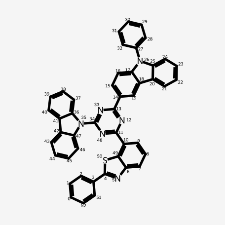 c1ccc(-c2nc3cccc(-c4nc(-c5ccc6c(c5)c5ccccc5n6-c5ccccc5)nc(-n5c6ccccc6c6ccccc65)n4)c3s2)cc1